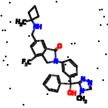 Cn1cnnc1C(O)(c1ccccc1)c1cccc(N2Cc3c(cc(CNC4(C)CCC4)cc3C(F)(F)F)C2=O)c1